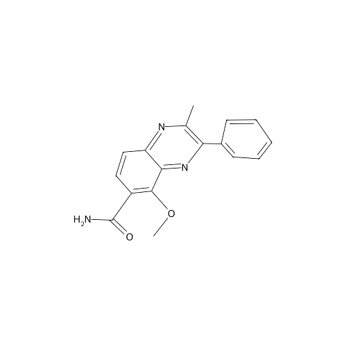 COc1c(C(N)=O)ccc2nc(C)c(-c3ccccc3)nc12